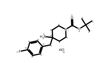 CC(C)(C)OC(=O)N1CCC(N)(Cc2ccc(F)cc2)CC1.Cl